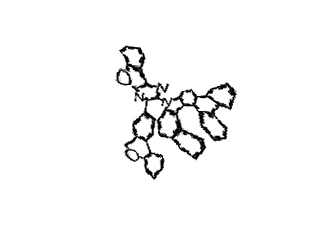 c1ccc2c(c1)OCc1cc(-c3nc4oc5ccccc5c4nc3-n3c4ccc5ccccc5c4c4c5c6ccccc6c6ccccc6c5ccc43)ccc1-2